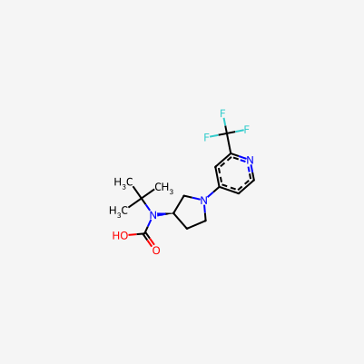 CC(C)(C)N(C(=O)O)[C@@H]1CCN(c2ccnc(C(F)(F)F)c2)C1